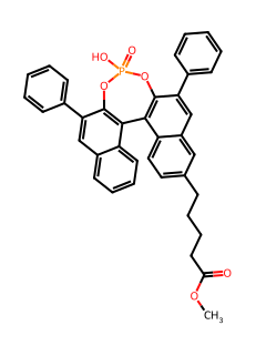 COC(=O)CCCCc1ccc2c3c(c(-c4ccccc4)cc2c1)OP(=O)(O)Oc1c(-c2ccccc2)cc2ccccc2c1-3